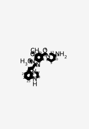 COc1cc(C(=O)N2CCC[C@@H](N)C2)cc2nc(-c3cc4cccc5c4n3CCN5)n(C)c12